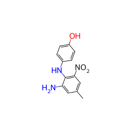 Cc1cc(N)c(Nc2ccc(O)cc2)c([N+](=O)[O-])c1